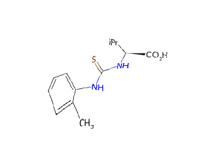 Cc1ccccc1NC(=S)N[C@H](C(=O)O)C(C)C